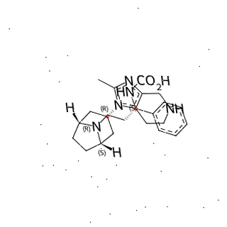 Cc1nc2c(n1[C@H]1C[C@H]3CC[C@@H](C1)N3CC[C@H](NC(=O)O)c1ccccc1)CCNC2